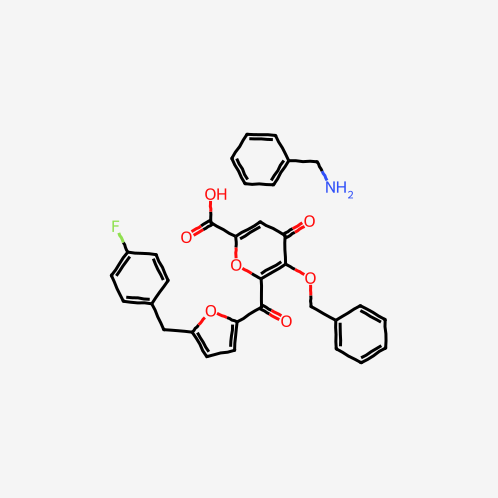 NCc1ccccc1.O=C(O)c1cc(=O)c(OCc2ccccc2)c(C(=O)c2ccc(Cc3ccc(F)cc3)o2)o1